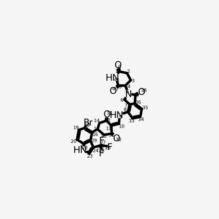 O=C1CCC(N2Cc3c(NC=C4C(=O)CC(c5c(Br)ccc6[nH]cc(C(F)(F)F)c56)CC4=O)cccc3C2=O)C(=O)N1